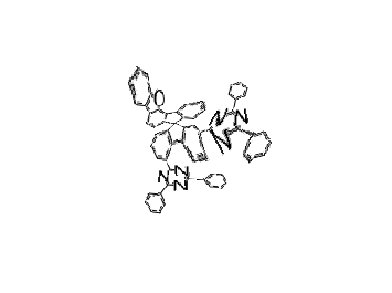 c1ccc(-c2nc(-c3ccccc3)nc(-c3ccc4c(c3)C3(c5ccccc5-c5c3ccc3c5oc5ccccc53)c3cccc(-c5nc(-c6ccccc6)nc(-c6ccccc6)n5)c3-4)n2)cc1